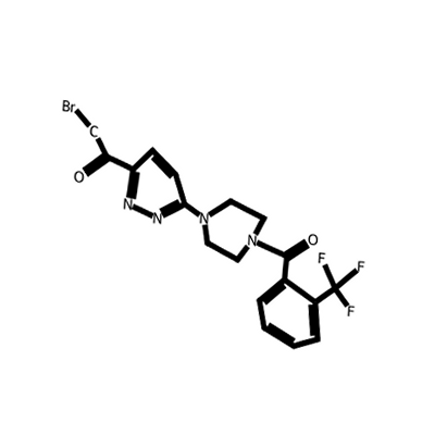 O=C(CBr)c1ccc(N2CCN(C(=O)c3ccccc3C(F)(F)F)CC2)nn1